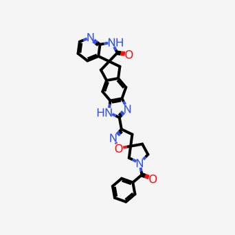 O=C(c1ccccc1)N1CCC2(CC(c3nc4cc5c(cc4[nH]3)CC3(C5)C(=O)Nc4ncccc43)=NO2)C1